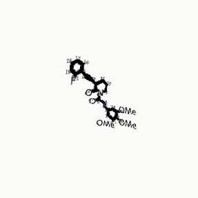 COc1cc(/C=C/C(=O)N2CCC=C(C#Cc3ccccc3F)C2=O)cc(OC)c1OC